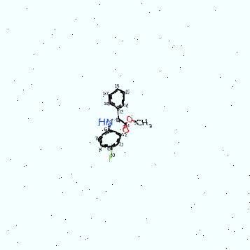 COC(=O)[C@H](Nc1ccc(F)cc1)c1ccccc1